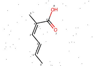 CC=CC=C(C)C(=O)O